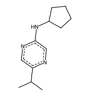 CC(C)c1cnc(NC2CCCC2)cn1